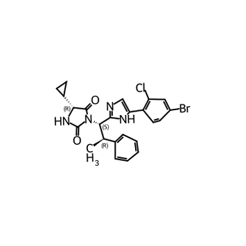 C[C@H](c1ccccc1)[C@@H](c1ncc(-c2ccc(Br)cc2Cl)[nH]1)N1C(=O)N[C@H](C2CC2)C1=O